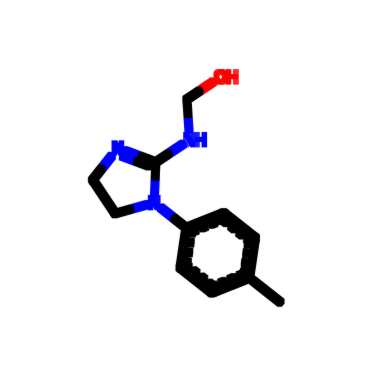 Cc1ccc(N2CCN=C2NCO)cc1